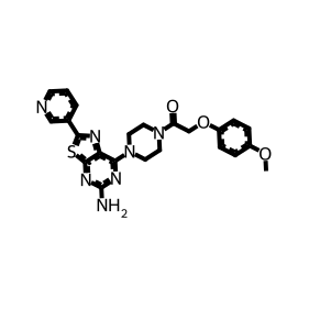 COc1ccc(OCC(=O)N2CCN(c3nc(N)nc4sc(-c5cccnc5)nc34)CC2)cc1